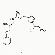 C/C(=C\C(=O)O)c1ccc(CCC(C)NCC(O)COc2ccccc2)s1